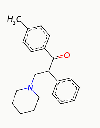 Cc1ccc(C(=O)C(CN2CCCCC2)c2ccccc2)cc1